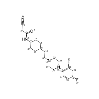 N#CCC(=O)NC1CCC(CCN2CCN(c3ccc(F)cc3F)CC2)CC1